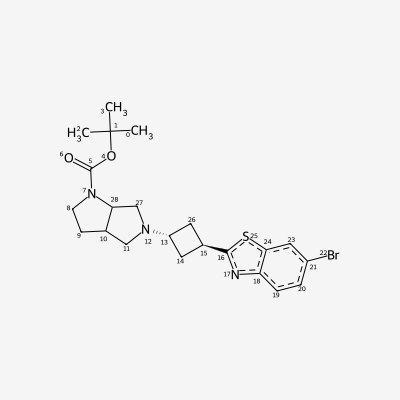 CC(C)(C)OC(=O)N1CCC2CN([C@H]3C[C@H](c4nc5ccc(Br)cc5s4)C3)CC21